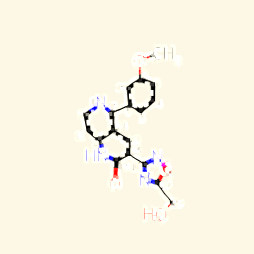 COc1cccc(-c2nccc3[nH]c(=O)c(-c4noc(CO)n4)cc23)c1